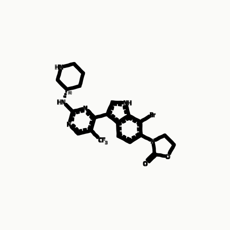 O=C1OCCN1c1ccc2c(-c3nc(N[C@H]4CCCNC4)ncc3C(F)(F)F)c[nH]c2c1Br